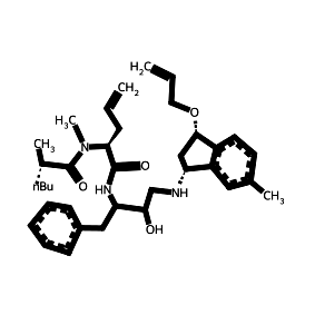 C=CCO[C@H]1C[C@@H](NCC(O)C(Cc2ccccc2)NC(=O)[C@H](CC=C)N(C)C(=O)[C@@H](C)CCCC)c2cc(C)ccc21